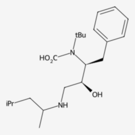 CC(C)CC(C)NC[C@H](O)[C@H](Cc1ccccc1)N(C(=O)O)C(C)(C)C